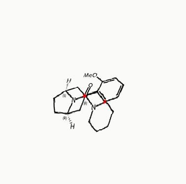 COc1ccccc1[C@H]1C[C@H]2CC[C@@H](C1)N2C(=O)N1CCCCC1